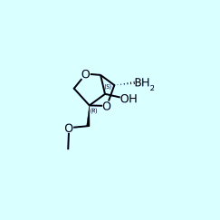 B[C@@H]1O[C@]2(COC)COC1C2O